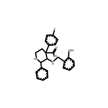 CCCC(=O)C1(c2ccc(F)cc2)CCNC(c2ccccc2)C1NCc1ccccc1OC